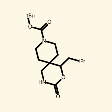 CC(C)CC1OC(=O)NCC12CCN(C(=O)OC(C)(C)C)CC2